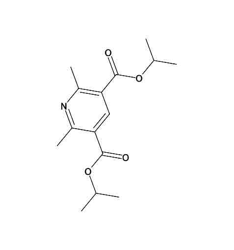 Cc1nc(C)c(C(=O)OC(C)C)cc1C(=O)OC(C)C